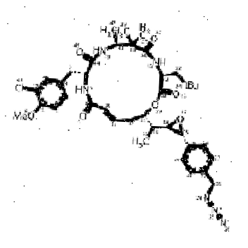 COc1ccc(C[C@H]2NC(=O)/C=C/C[C@@H](C(C)[C@H]3O[C@@H]3c3ccc(CN=[N+]=[N-])cc3)OC(=O)[C@H](CC(C)(C)C)NC(=O)C(C)(C)[C@H](C)NC2=O)cc1Cl